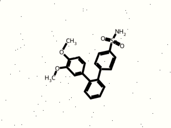 COc1ccc(-c2ccccc2-c2ccc(S(N)(=O)=O)cc2)cc1OC